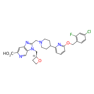 O=C(O)c1cc2nc(CN3CCC(c4cccc(OCc5ccc(Cl)cc5F)n4)CC3)n(C[C@@H]3CCO3)c2cn1